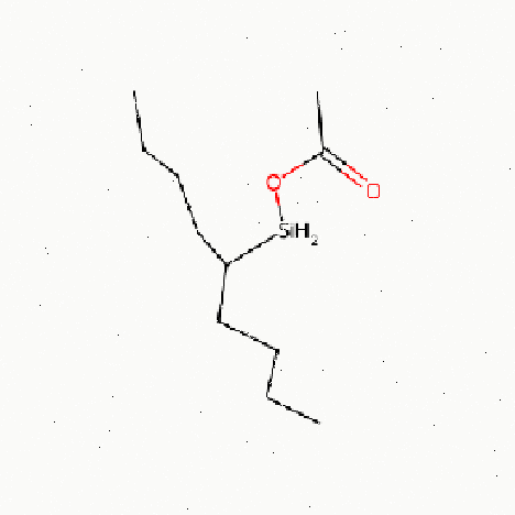 CCCCC(CCCC)[SiH2]OC(C)=O